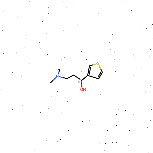 CN(C)CC[C@H](O)c1ccsc1